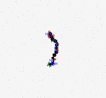 CC(C)(c1n[nH]c(CNC(=O)[C@H]2C[C@@H]2c2ccc(-c3ccc(Oc4cnn(C5CCN(CC6CCN(c7cc8c(cc7F)C(=O)N(C7CCC(=O)NC7=O)C8=O)CC6)CC5)c4)nc3)cc2)n1)C(F)(F)F